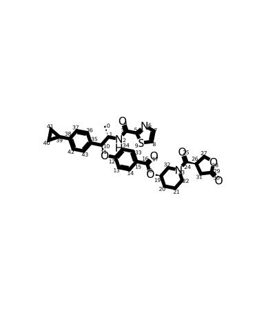 C[C@H](NC(=O)c1nccs1)[C@H](Oc1ccc(C(=O)O[C@H]2CCCN(C(=O)[C@H]3COC(=O)C3)C2)cc1)c1ccc(C2CC2)cc1